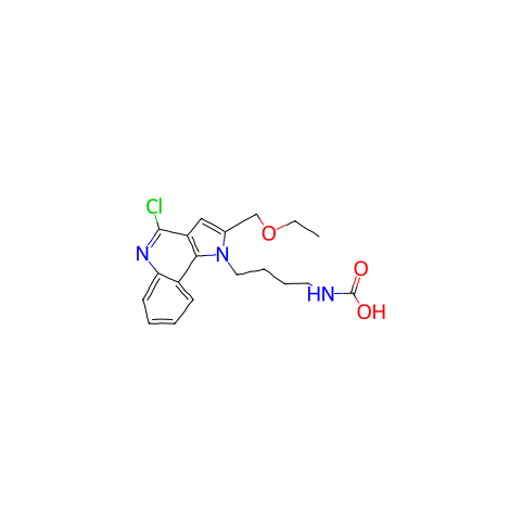 CCOCc1cc2c(Cl)nc3ccccc3c2n1CCCCNC(=O)O